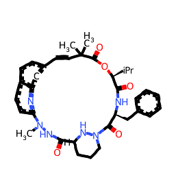 CC(C)[C@@H]1OC(=O)C(C)(C)/C=C/c2ccc3ccc(nc3c2)N(C)NC(=O)[C@@H]2CCCN(N2)C(=O)[C@H](Cc2ccccc2)NC1=O